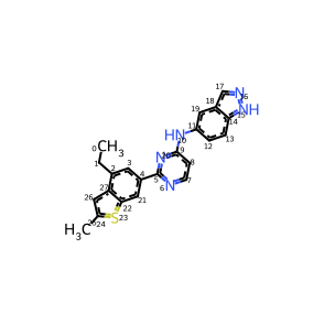 CCc1cc(-c2nccc(Nc3ccc4[nH]ncc4c3)n2)cc2sc(C)cc12